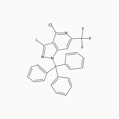 FC(F)(F)c1cc2c(c(Cl)n1)c(I)nn2C(c1ccccc1)(c1ccccc1)c1ccccc1